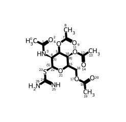 CC(=O)N[C@H]1C(OC(C)=O)[C@@H](OC(C)=O)C(COC(C)=O)O[C@H]1SC(=N)N